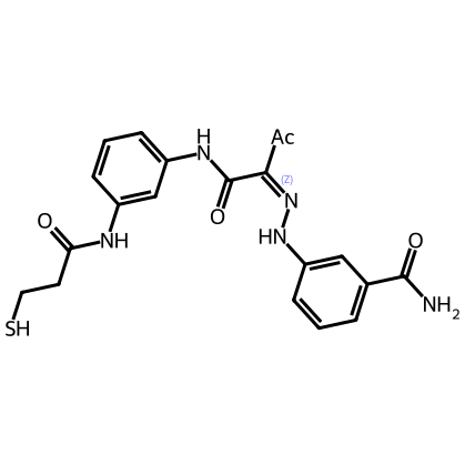 CC(=O)/C(=N/Nc1cccc(C(N)=O)c1)C(=O)Nc1cccc(NC(=O)CCS)c1